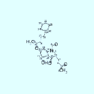 CC(=O)CCC1CN(C=O)c2cc(OC(C)CCCc3ccccc3)cc(O)c2C1=O